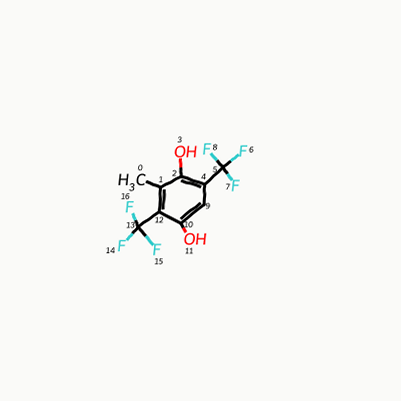 Cc1c(O)c(C(F)(F)F)cc(O)c1C(F)(F)F